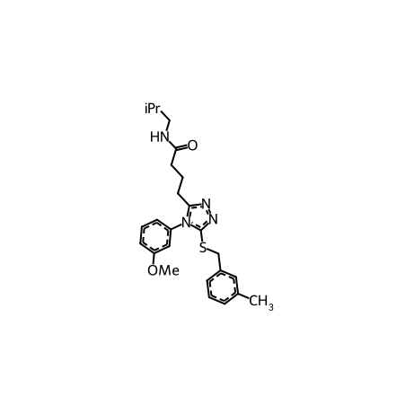 COc1cccc(-n2c(CCCC(=O)NCC(C)C)nnc2SCc2cccc(C)c2)c1